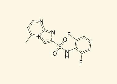 Cc1ccnc2nc(S(=O)(=O)Nc3c(F)cccc3F)cn12